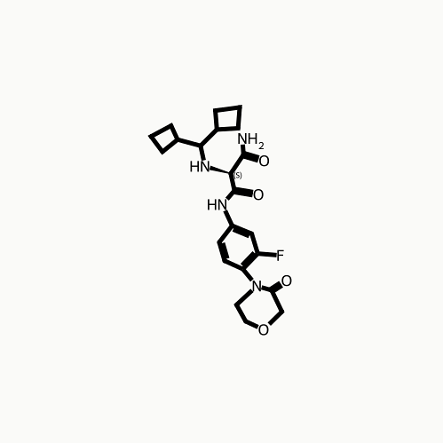 NC(=O)[C@H](NC(C1CCC1)C1CCC1)C(=O)Nc1ccc(N2CCOCC2=O)c(F)c1